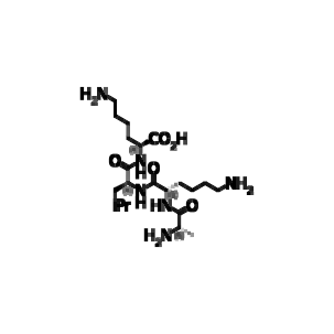 CC(C)C[C@H](NC(=O)[C@H](CCCCN)NC(=O)[C@H](C)N)C(=O)N[C@@H](CCCCN)C(=O)O